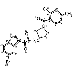 Cc1ccc(C(=O)N2CCC(NC(=O)C(=O)c3c[nH]c4ccc(Br)cc34)C2)c(Cl)c1